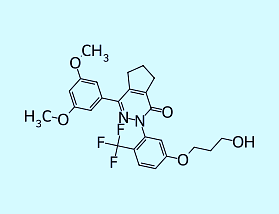 COc1cc(OC)cc(-c2nn(-c3cc(OCCCO)ccc3C(F)(F)F)c(=O)c3c2CCC3)c1